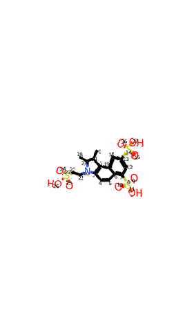 CC1c2c(ccc3c(S(=O)(=O)O)cc(S(=O)(=O)O)cc23)N(CCS(=O)(=O)O)C1C